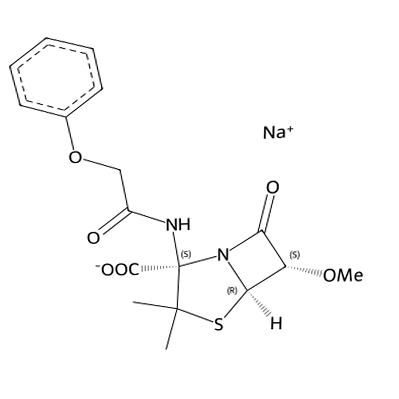 CO[C@H]1C(=O)N2[C@@H]1SC(C)(C)[C@]2(NC(=O)COc1ccccc1)C(=O)[O-].[Na+]